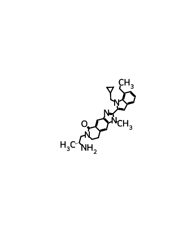 CCc1cccc2cc(-c3nc4cc5c(cc4n3C)CCN(C[C@@H](C)N)C5=O)n(CC3CC3)c12